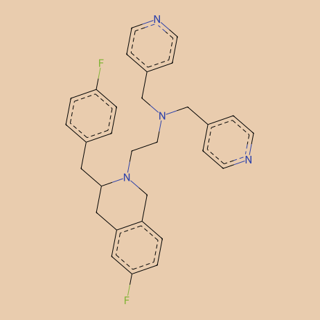 Fc1ccc(CC2Cc3cc(F)ccc3CN2CCN(Cc2ccncc2)Cc2ccncc2)cc1